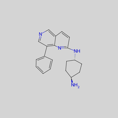 N[C@H]1CC[C@H](Nc2ccc3cncc(-c4ccccc4)c3n2)CC1